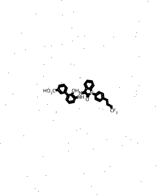 O=C(O)c1cccc(-c2cccc(NN=C3C(=O)N(c4ccc(CCCC(F)(F)F)cc4)c4ccccc43)c2O)c1